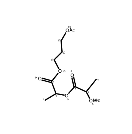 COC(C)C(=O)OC(C)C(=O)OCCCOC(C)=O